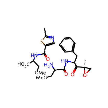 COCC(N)C(=O)NC(Cc1ccccc1)C(=O)[C@@]1(C)CO1.COCC(NC(=O)c1cnc(C)s1)C(=O)O